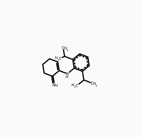 CC(C)c1cccc(C(C)C)c1NC1=CCCCC1=N